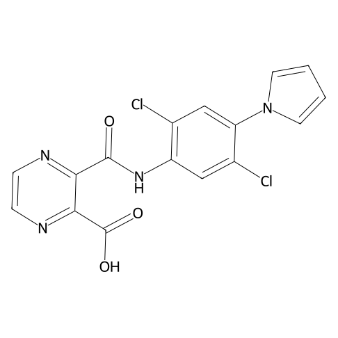 O=C(O)c1nccnc1C(=O)Nc1cc(Cl)c(-n2cccc2)cc1Cl